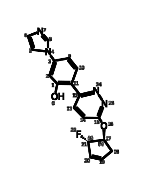 Oc1cc(-n2ccnc2)ccc1-c1ccc(O[C@H]2CC=C[C@@H]2F)nn1